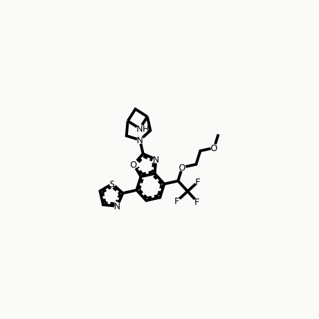 COCCOC(c1ccc(-c2nccs2)c2oc(N3CC4CC(C3)N4)nc12)C(F)(F)F